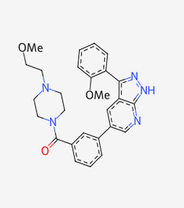 COCCN1CCN(C(=O)c2cccc(-c3cnc4[nH]nc(-c5ccccc5OC)c4c3)c2)CC1